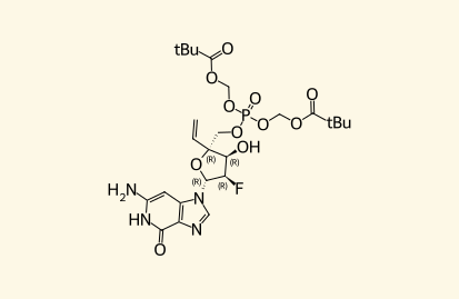 C=C[C@]1(COP(=O)(OCOC(=O)C(C)(C)C)OCOC(=O)C(C)(C)C)O[C@@H](n2cnc3c(=O)[nH]c(N)cc32)[C@H](F)[C@@H]1O